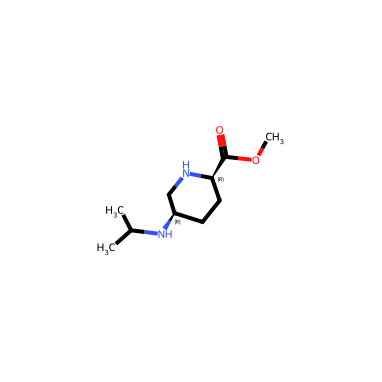 COC(=O)[C@H]1CC[C@@H](NC(C)C)CN1